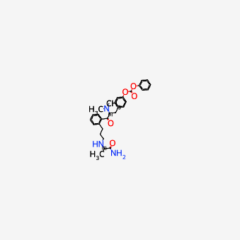 C[C@@H](NCCCc1ccccc1C(=O)[C@H](Cc1ccc(OC(=O)Oc2ccccc2)cc1)N(C)C)C(N)=O